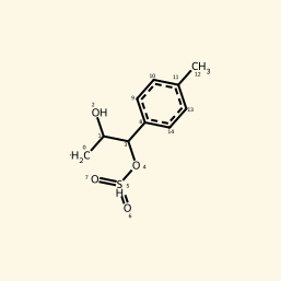 [CH2]C(O)C(O[SH](=O)=O)c1ccc(C)cc1